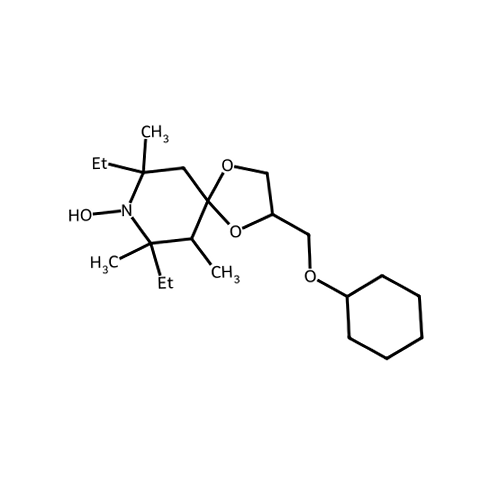 CCC1(C)CC2(OCC(COC3CCCCC3)O2)C(C)C(C)(CC)N1O